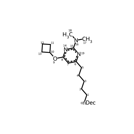 CCCCCCCCCCCCCCCc1cc(OC2CCC2)nc(N(C)C)n1